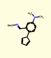 CON=Cc1cc(N(C)C)ccc1C1C=CC=C1